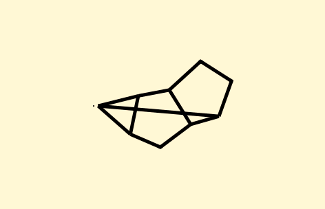 C1CC2C3CC4[C](C13)C42